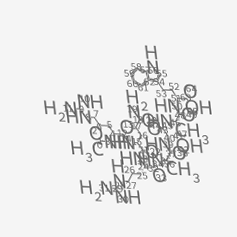 CC(=O)N[C@@H](CCCNC(=N)N)C(=O)N[C@@H](CCC(N)=O)C(=O)N[C@@H](CCCNC(=N)N)C(=O)N[C@@H](C)C(=O)N[C@@H](CO)C(=O)N[C@@H](C)C(=O)N[C@@H](CCc1c[nH]c2ccccc12)C(=O)O